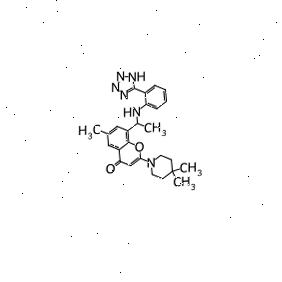 Cc1cc(C(C)Nc2ccccc2-c2nnn[nH]2)c2oc(N3CCC(C)(C)CC3)cc(=O)c2c1